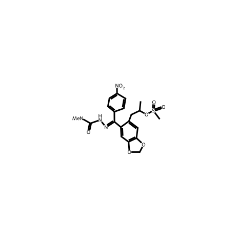 CNC(=O)NN=C(c1ccc([N+](=O)[O-])cc1)c1cc2c(cc1CC(C)OS(C)(=O)=O)OCO2